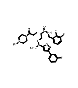 CC(=O)N(NCc1cccc(F)c1Cl)[C@@H](CCC(=O)N1CCN(C(C)C)CC1)CON(C=O)c1cc(-c2cccc(F)c2)no1